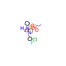 CCCC(=O)OC1CCN(Cc2ccc(F)c(Cl)c2)C(=O)C1(N)[S+]([O-])c1ccccc1